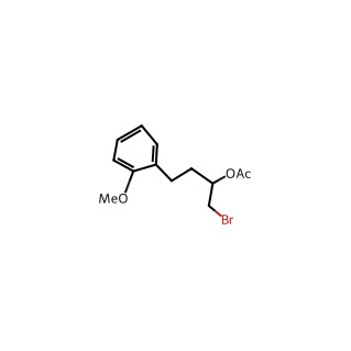 COc1ccccc1CCC(CBr)OC(C)=O